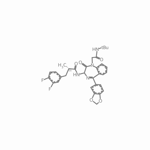 C[C@@H](Cc1ccc(F)c(F)c1)C(=O)NC1N=C(c2ccc3c(c2)OCO3)c2ccccc2N(CC(=O)NC(C)(C)C)C1=O